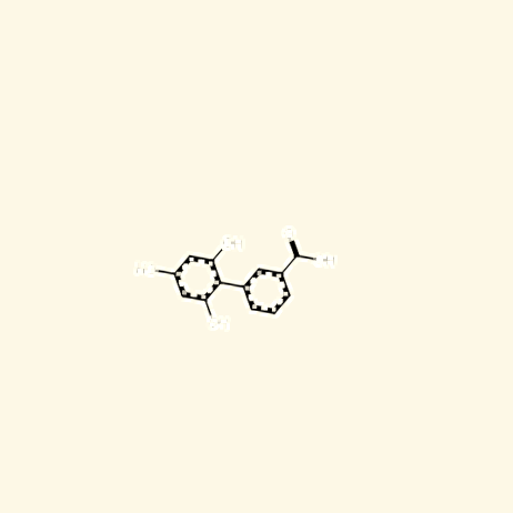 O=C(O)c1cccc(-c2c(O)cc(O)cc2O)c1